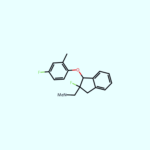 CNCC1(F)Cc2ccccc2C1Oc1ccc(F)cc1C